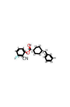 N#Cc1c(F)cccc1OC(=O)[C@H]1CC[C@H](Cc2ccccc2)CC1